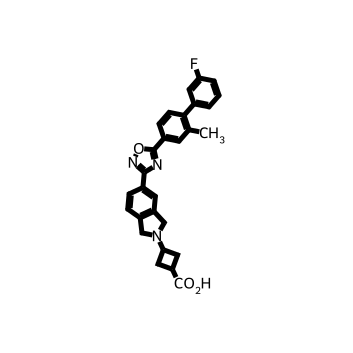 Cc1cc(-c2nc(-c3ccc4c(c3)CN(C3CC(C(=O)O)C3)C4)no2)ccc1-c1cccc(F)c1